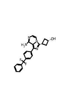 Nc1nccn2c1c(-c1ccc(C(F)(F)c3ccccc3)cc1)nc2[C@H]1C[C@@H](O)C1